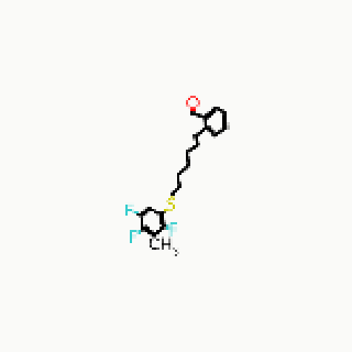 Cc1c(F)c(F)cc(SCCCCCCCc2ccccc2C=O)c1F